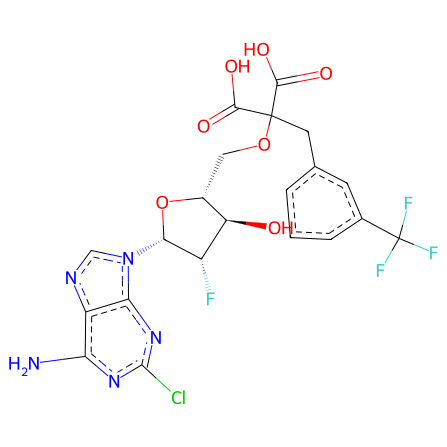 Nc1nc(Cl)nc2c1ncn2[C@@H]1O[C@H](COC(Cc2cccc(C(F)(F)F)c2)(C(=O)O)C(=O)O)[C@@H](O)[C@@H]1F